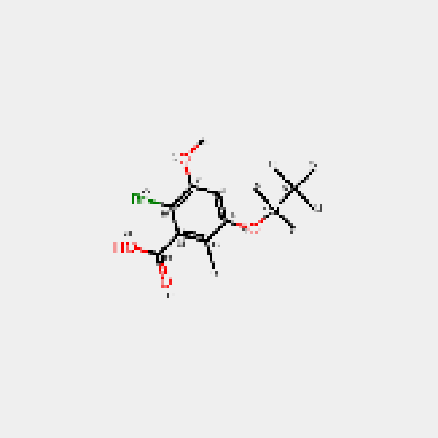 COc1cc(O[Si](C)(C)C(C)(C)C)c(C)c(C(=O)O)c1Br